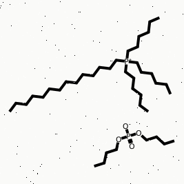 CCCCCCCCCCCCCC[P+](CCCCCC)(CCCCCC)CCCCCC.CCCCOP(=O)([O-])OCCCC